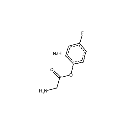 NCC(=O)Oc1ccc(F)cc1.[NaH]